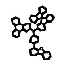 c1ccc2c(c1)-c1ccccc1C21c2ccccc2-c2ccc(N(c3ccc(-c4cccc5c4oc4ccccc45)cc3)c3ccc4c5ccccc5c5ccccc5c4c3)cc21